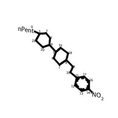 CCCCCC1CCC(C2CCC(CCc3ccc([N+](=O)[O-])cc3)CC2)CC1